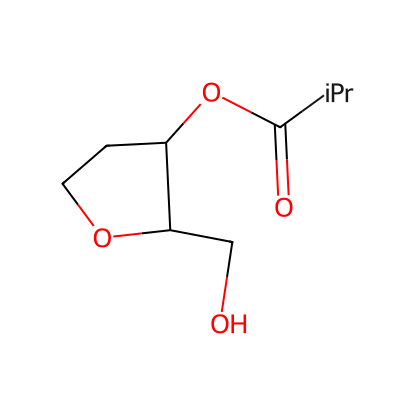 CC(C)C(=O)OC1CCOC1CO